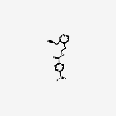 N#CCc1ccccc1CCNC(=O)c1ccc([N+](=O)[O-])cc1